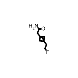 NC(=O)CC12CC(CCF)(C1)C2